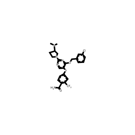 CN(C)C1CCN(c2ncc(Sc3ccc(C(N)=O)c(C(F)(F)F)c3)c(OCc3cccc(Cl)c3)n2)C1